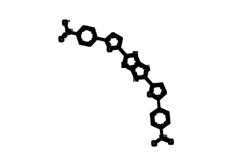 O=[N+]([O-])c1ccc(-c2ccc(-c3nc4sc(-c5ccc(-c6ccc([N+](=O)[O-])cc6)o5)nc4s3)o2)cc1